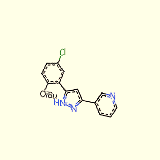 CC(C)COc1ccc(Cl)cc1-c1cc(-c2cccnc2)n[nH]1